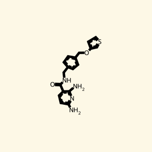 Nc1ccc(C(=O)NCc2ccc(COc3ccsc3)cc2)c(N)n1